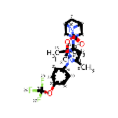 Cc1cc(N2CC3CC(C2)N3C(=O)OC(C)(C)C)nn1-c1ccc(OC(F)(F)F)cc1